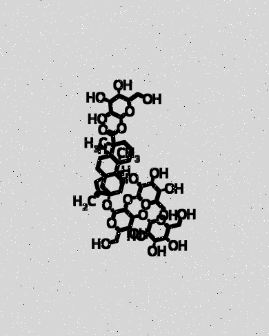 C=C1C[C@@]23CC[C@H]4[C@@](C)(CCC[C@@]4(C)C(=O)O[C@@H]4OC(CO)[C@@H](O)[C@H](O)C4O)[C@@H]2CC[C@]1(O[C@@H]1OC(CO)[C@@H](O)[C@H](O[C@@H]2OC(CO)[C@@H](O)[C@H](O)C2O)C1O[C@@H]1OC(CO)[C@@H](O)[C@H](O)C1O)C3